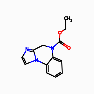 CCOC(=O)N1Cc2nccn2-c2ccccc21